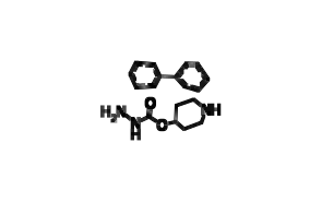 NNC(=O)OC1CCNCC1.c1ccc(-c2ccccc2)cc1